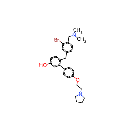 CN(C)Cc1ccc(Cc2ccc(O)cc2-c2ccc(OCCN3CCCC3)cc2)cc1Br